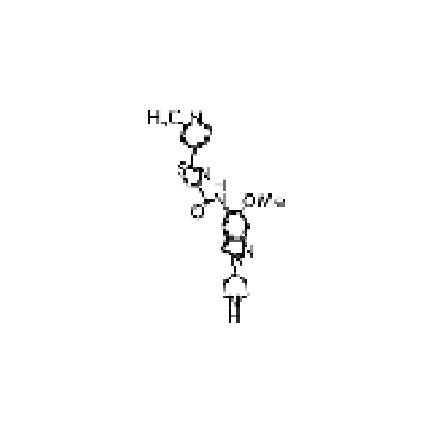 COc1cc2nn(C3CCNCC3)cc2cc1NC(=O)c1csc(-c2ccnc(C)c2)n1